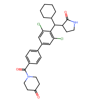 O=C1CCN(C(=O)c2ccc(-c3cc(Cl)c(C(C4CCCCC4)C4CCNC4=O)c(Cl)c3)cc2)CC1